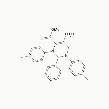 COC(=O)C1=C(C(=O)O)CN(c2ccc(C)cc2)C(c2ccccc2)N1c1ccc(C)cc1